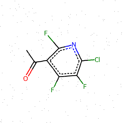 CC(=O)c1c(F)nc(Cl)c(F)c1F